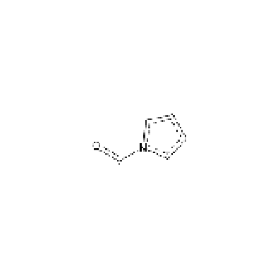 O=[C]n1cccc1